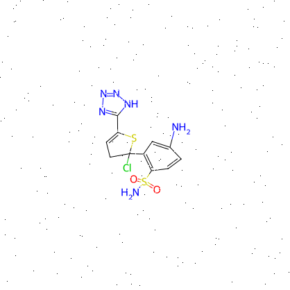 Nc1ccc(S(N)(=O)=O)c(C2(Cl)CC=C(c3nnn[nH]3)S2)c1